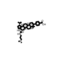 C=C(C)[C@@H]1CC[C@]2(NC(=O)NCCCN(C)C)CC[C@]3(C)[C@H](CC[C@@H]4[C@@]5(C)CC=C(c6ccc(C(=O)O)cc6)C(C)(C)[C@@H]5CC[C@]43C)[C@@H]12